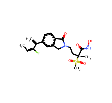 C=C(/C(F)=C\C)c1ccc2c(c1)CN(CC[C@](C)(C(=O)NO)S(C)(=O)=O)C2=O